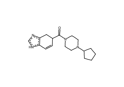 O=C(C1C=Cc2[nH]cnc2C1)N1CCN(C2CCCC2)CC1